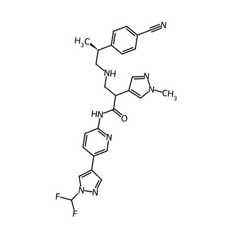 C[C@H](CNCC(C(=O)Nc1ccc(-c2cnn(C(F)F)c2)cn1)c1cnn(C)c1)c1ccc(C#N)cc1